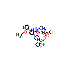 CCOc1ncccc1-c1ccc(N2CCN(C(=O)C3(C(F)(F)F)CCCC3)C[C@H]2CC)c(C(=O)N[C@@H]2CCN(CC3=C(C)OC(O)O3)C2)n1